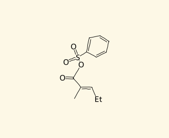 CCC=C(C)C(=O)OS(=O)(=O)c1ccccc1